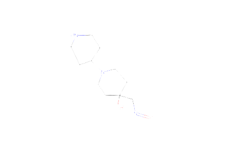 O=NCC1(O)CCN(C2CCNCC2)CC1